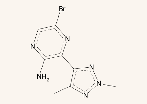 Cc1nn(C)nc1-c1nc(Br)cnc1N